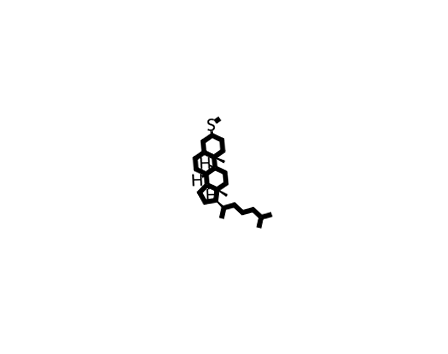 CS[C@H]1CC[C@@]2(C)C(CC[C@H]3[C@@H]4CC[C@H](C(C)CCCC(C)C)[C@@]4(C)CC[C@@H]32)C1